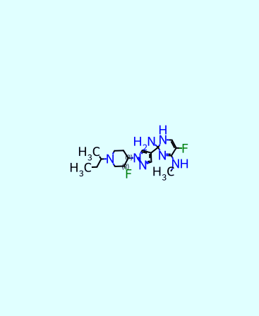 CCC(C)N1CC[C@@H](n2cc(C3(N)N=C(NC)C(F)=CN3)cn2)[C@H](F)C1